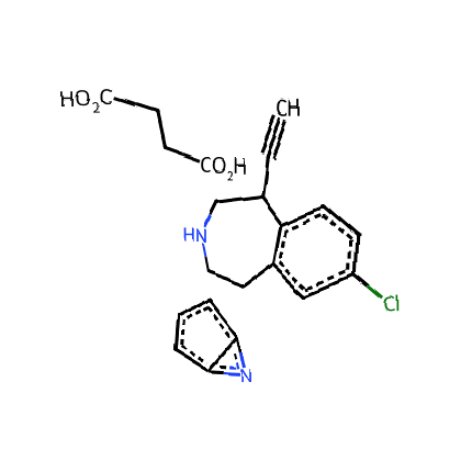 C#CC1CNCCc2cc(Cl)ccc21.O=C(O)CCC(=O)O.c1cc2nc-2c1